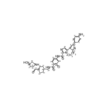 Cn1c(-c2cn(-c3ccc(N)cn3)nc2C(F)(F)F)cnc1C(=O)Nc1ccc(C(=O)NCC2CCN(C(=O)[C@@H]3C[C@@H](O)CN3)CC2)c(Cl)c1